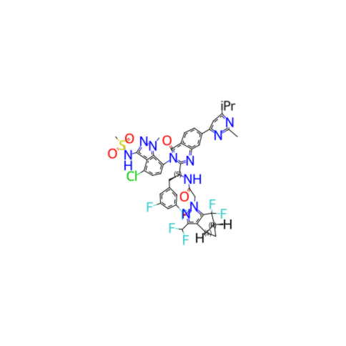 Cc1nc(-c2ccc3c(=O)n(-c4ccc(Cl)c5c(NS(C)(=O)=O)nn(C)c45)c([C@H](Cc4cc(F)cc(F)c4)NC(=O)Cn4nc(C(F)F)c5c4C(F)(F)[C@@H]4C[C@H]54)nc3c2)cc(C(C)C)n1